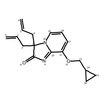 C=CCC1(CC=C)C(=O)N=C2C(OCC3CC3)=CC=CN21